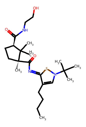 CCCCc1cn(C(C)(C)C)s/c1=N\C(=O)[C@@]1(C)CC[C@@H](C(=O)NCCO)C1(C)C